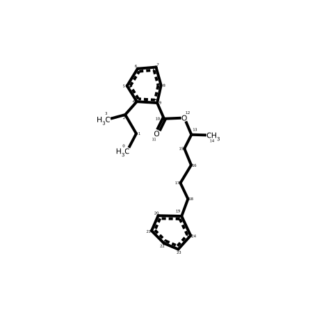 CCC(C)c1ccccc1C(=O)OC(C)CCCCc1ccccc1